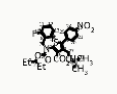 CCC(CC)OC(=O)N(Cc1c(F)cccc1F)c1sc(-c2ccc([N+](=O)[O-])cc2)c(CON(C)C)c1C(=O)O